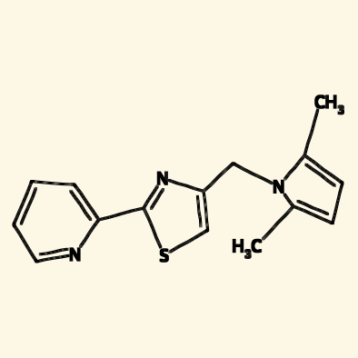 Cc1ccc(C)n1Cc1csc(-c2ccccn2)n1